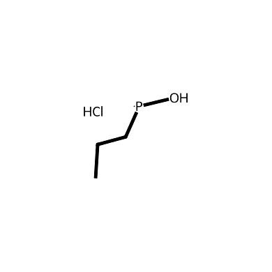 CCC[P]O.Cl